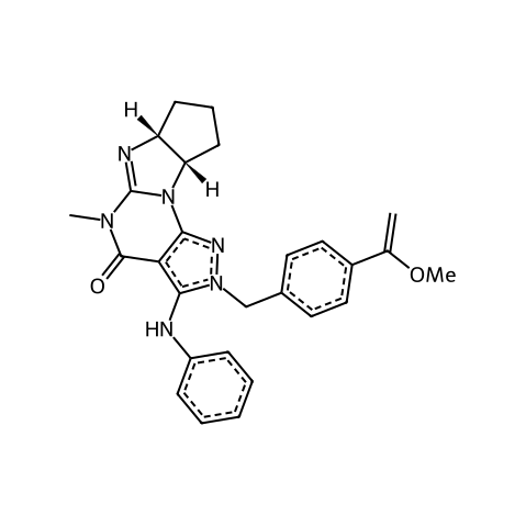 C=C(OC)c1ccc(Cn2nc3c(c2Nc2ccccc2)C(=O)N(C)C2=N[C@@H]4CCC[C@@H]4N23)cc1